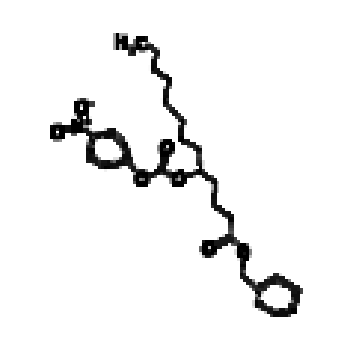 CCCCCCCCC(CCCC(=O)OCc1ccccc1)OC(=O)Oc1ccc([N+](=O)[O-])cc1